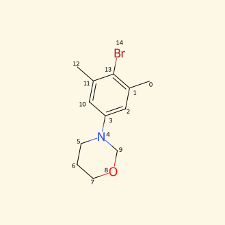 Cc1cc(N2CCCOC2)cc(C)c1Br